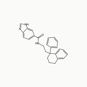 O=C(NCCC1(c2ccccc2)CCCc2ccccc21)c1ccc2nc[nH]c2c1